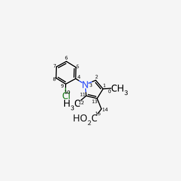 Cc1cn(-c2ccccc2Cl)c(C)c1CC(=O)O